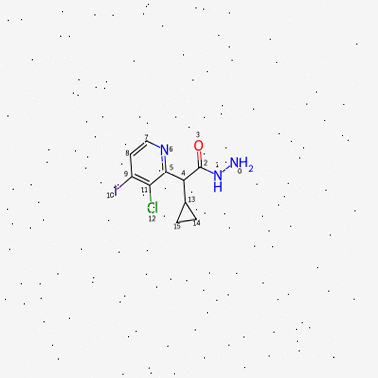 NNC(=O)C(c1nccc(I)c1Cl)C1CC1